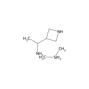 CC(N)C1CNC1.C[SiH2]C